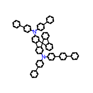 c1ccc(-c2ccc(-c3ccc(N(c4ccc(-c5ccccc5)cc4)c4ccc5c(c4)C4(c6ccccc6-c6ccccc64)c4cc(N(c6ccc(-c7ccccc7)cc6)c6ccc(-c7ccccc7)cc6)ccc4-5)cc3)cc2)cc1